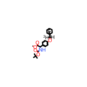 [2H]C([2H])(Oc1ccc(C(NC(=O)OC(C)(C)C)C(=O)OC)cc1)C12CCC(CC1)CC2